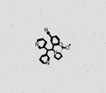 COC(=O)[C@@H]1CCCN1C(c1cccc(C#N)c1)C(c1cccnc1)c1cccnc1